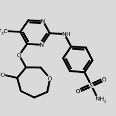 NS(=O)(=O)c1ccc(Nc2ncc(C(F)(F)F)c(OC3COCCCC3O)n2)cc1